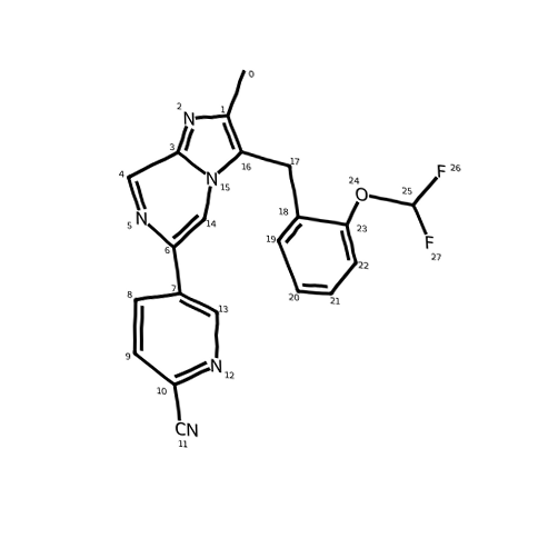 Cc1nc2cnc(-c3ccc(C#N)nc3)cn2c1Cc1ccccc1OC(F)F